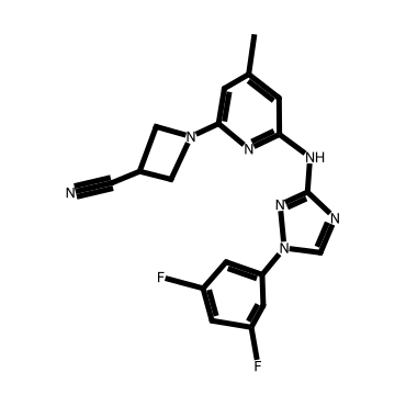 Cc1cc(Nc2ncn(-c3cc(F)cc(F)c3)n2)nc(N2CC(C#N)C2)c1